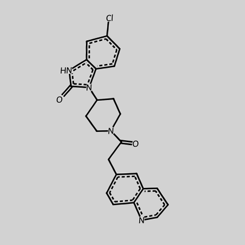 O=C(Cc1ccc2ncccc2c1)N1CCC(n2c(=O)[nH]c3cc(Cl)ccc32)CC1